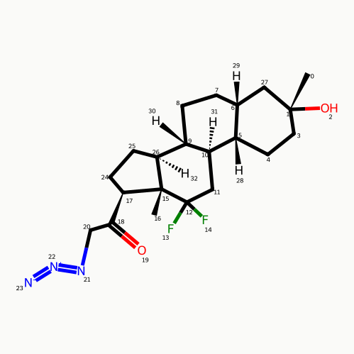 C[C@@]1(O)CC[C@H]2[C@H](CC[C@@H]3[C@@H]2CC(F)(F)[C@]2(C)[C@@H](C(=O)CN=[N+]=[N-])CC[C@@H]32)C1